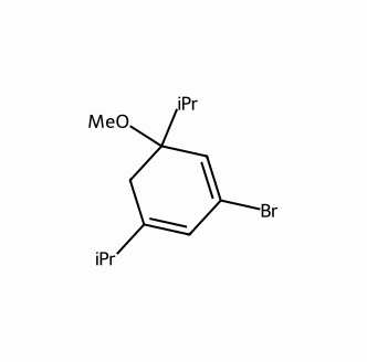 COC1(C(C)C)C=C(Br)C=C(C(C)C)C1